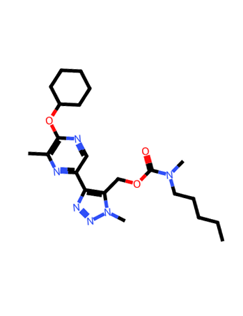 CCCCCN(C)C(=O)OCc1c(-c2cnc(OC3CCCCC3)c(C)n2)nnn1C